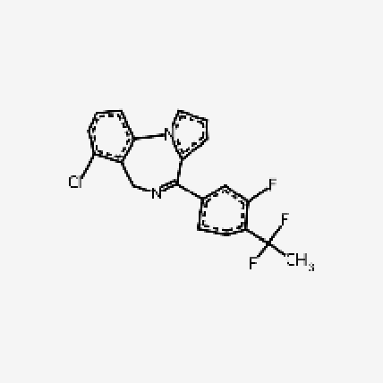 CC(F)(F)c1ccc(C2=NCc3c(Cl)cccc3-n3cccc32)cc1F